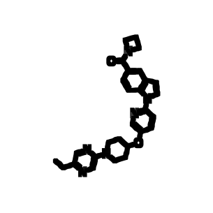 CCc1cnc(N2CCC(Oc3ccc(-n4ccc5cc(C(=O)N6CCC6)ccc54)nc3)CC2)cn1